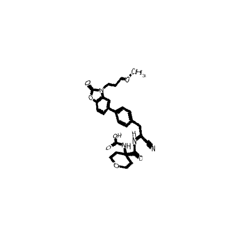 COCCCn1c(=O)oc2ccc(-c3ccc(CC(C#N)NC(=O)C4(NC(=O)O)CCOCC4)cc3)cc21